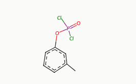 Cc1cccc(OP(=O)(Cl)Cl)c1